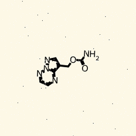 NC(=O)OCc1cnn2nccnc12